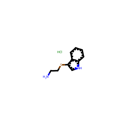 Cl.NCCSc1c[nH]c2ccccc12